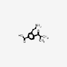 CC(C)C(=O)c1ccc(C(=O)O)cc1CCN